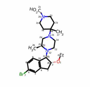 CCO[C@@H]1Cc2cc(Br)ccc2[C@H]1N1CCN(C2(C)CCN(C(=O)O)CC2)C[C@@H]1C